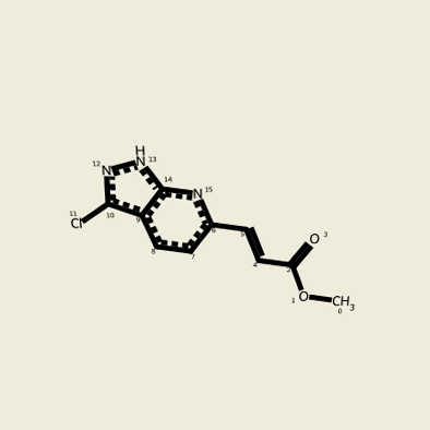 COC(=O)/C=C/c1ccc2c(Cl)n[nH]c2n1